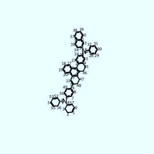 C1=CCCC(N(c2ccc(C3=Cc4c(c5c(c6ccccc46)-c4ccc(N(c6ccccc6)c6ccc7ccccc7c6)cc4CC5)CC3)cc2)[C@H]2C=CC=CC2)=C1